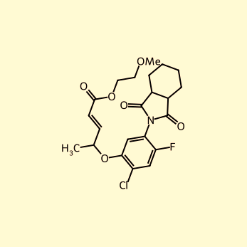 COCCOC(=O)C=CC(C)Oc1cc(N2C(=O)C3CCCCC3C2=O)c(F)cc1Cl